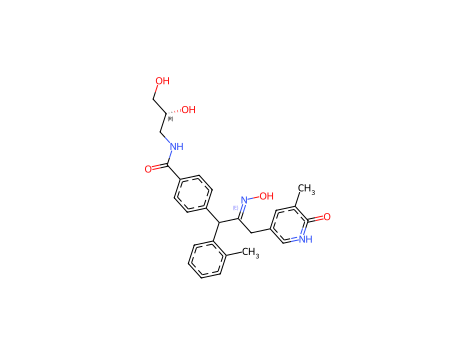 Cc1ccccc1C(/C(Cc1c[nH]c(=O)c(C)c1)=N/O)c1ccc(C(=O)NC[C@@H](O)CO)cc1